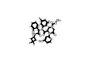 CC(C)(C)OC(=O)N1CC(=O)N(c2cc(C#N)ccn2)C(C(=O)N(c2cc(F)cc(F)c2)[C@H](C(=O)NC2CC(F)(F)C2)c2ccccc2Cl)C1